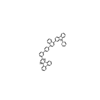 C1=CCC(n2c3ccccc3c3ccc(-c4ccc(-c5ccc(-c6cccc(-c7cnc8c9ccccc9c9ccccc9c8n7)c6)cc5)c5ccccc45)cc32)C=C1